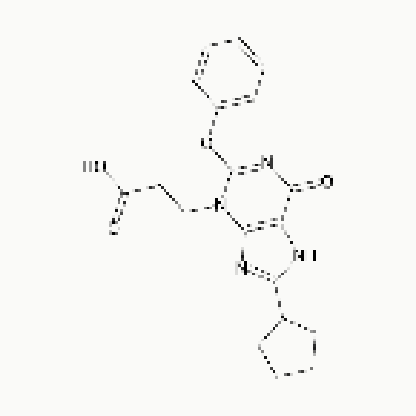 O=C(O)CCn1c(Oc2ccccc2)nc(=O)c2[nH]c(C3CCCC3)nc21